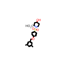 Cc1cc(C)cc(COc2ccc(S(=O)(=O)N3CCC(O)CC3C(=O)O)cc2)c1